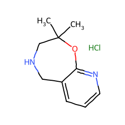 CC1(C)CNCc2cccnc2O1.Cl